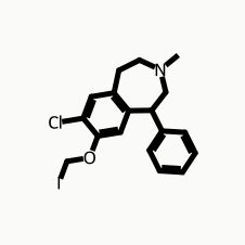 CN1CCc2cc(Cl)c(OCI)cc2C(c2ccccc2)C1